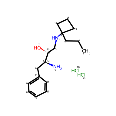 CCCC1(NC[C@@H](O)[C@@H](N)Cc2ccccc2)CCC1.Cl.Cl